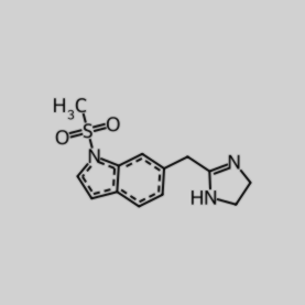 CS(=O)(=O)n1ccc2ccc(CC3=NCCN3)cc21